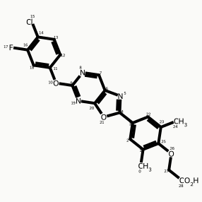 Cc1cc(-c2nc3cnc(Oc4ccc(Cl)c(F)c4)nc3o2)cc(C)c1OCC(=O)O